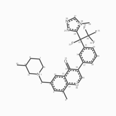 Cc1cc(CN2CCCC(C)C2)cc2c(=O)c(-c3cccc(C(F)(c4nncn4C)C(F)(F)F)c3)coc12